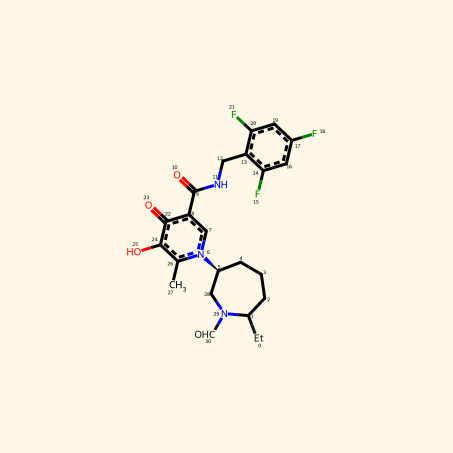 CCC1CCC[C@H](n2cc(C(=O)NCc3c(F)cc(F)cc3F)c(=O)c(O)c2C)CN1C=O